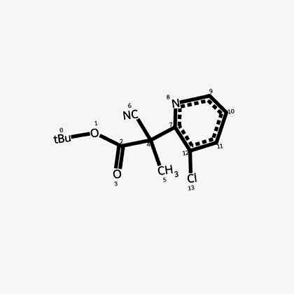 CC(C)(C)OC(=O)C(C)(C#N)c1ncccc1Cl